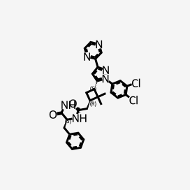 CC1(C)[C@@H](CC(=O)N[C@@H](Cc2ccccc2)C(N)=O)C[C@@H]1c1cc(-c2cnccn2)nn1-c1ccc(Cl)c(Cl)c1